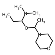 CCC(OC(C)N1CCOCC1)N(C)C